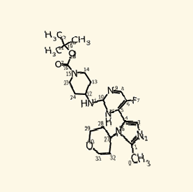 Cc1ncc(C2=C(F)C=NC(NC3CCN(C(=O)OC(C)(C)C)CC3)N2)n1C1CCOCC1